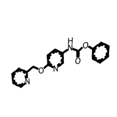 O=C(Nc1ccc(OCc2ccccn2)nc1)Oc1ccccc1